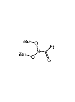 CCC(=O)N(OC(C)CC)OC(C)CC